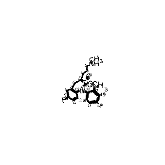 CNCCCC1Cc2cc(F)ccc2N(c2ccccc2C)S1(=O)=O